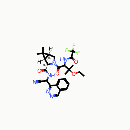 CCOC(C)(C)C(NC(=O)C(F)(F)F)C(=O)N1C[C@H]2[C@@H]([C@H]1C(=O)NC(C#N)c1nncc3ccccc13)C2(C)C